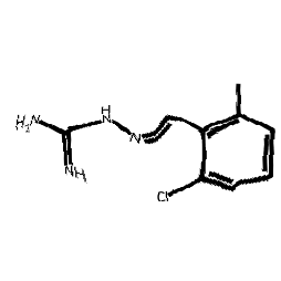 Cc1cccc(Cl)c1/C=N/NC(=N)N